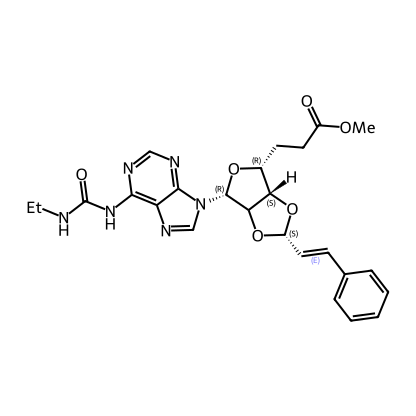 CCNC(=O)Nc1ncnc2c1ncn2[C@@H]1O[C@H](CCC(=O)OC)[C@@H]2O[C@H](/C=C/c3ccccc3)OC21